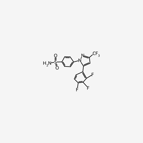 NS(=O)(=O)c1ccc(-n2nc(C(F)(F)F)cc2-c2ccc(F)c(F)c2F)cc1